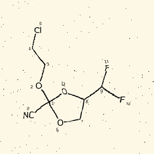 N#CC1(OCCCl)OCC(C(F)F)O1